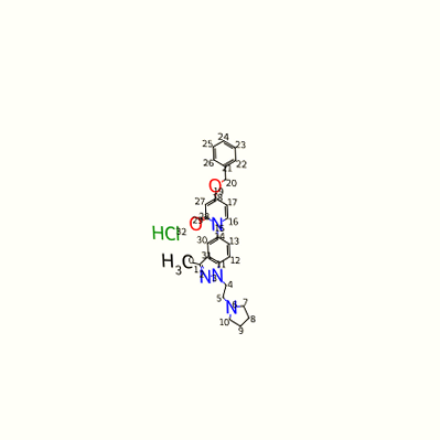 Cc1nn(CCN2CCCC2)c2ccc(-n3ccc(OCc4ccccc4)cc3=O)cc12.Cl